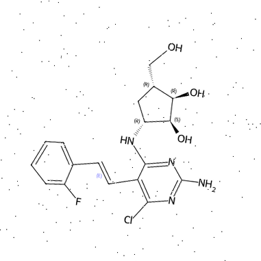 Nc1nc(Cl)c(/C=C/c2ccccc2F)c(N[C@@H]2C[C@H](CO)[C@@H](O)[C@H]2O)n1